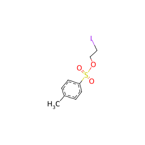 Cc1ccc(S(=O)(=O)OCCI)cc1